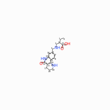 CCC(CNCc1ccc2c3c(c(=O)[nH]c2c1)CCCN3)C(=O)O